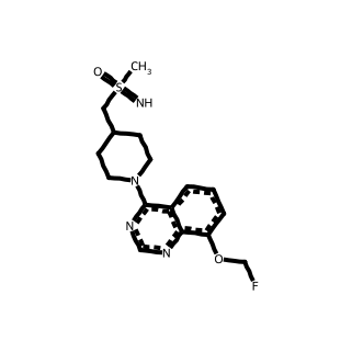 CS(=N)(=O)CC1CCN(c2ncnc3c(OCF)cccc23)CC1